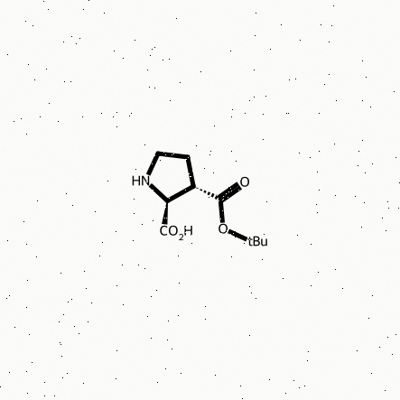 CC(C)(C)OC(=O)[C@H]1CCN[C@@H]1C(=O)O